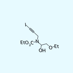 CCOCC(O)N(CC#CI)C(=O)OCC